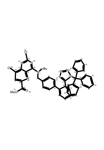 CCCCN(Cc1ccc(-c2ccccc2-c2nnnn2C(c2ccccc2)(c2ccccc2)c2ccccc2)cc1)c1nc(Cl)nc2c(Cl)cc(C(=O)OC)nc12